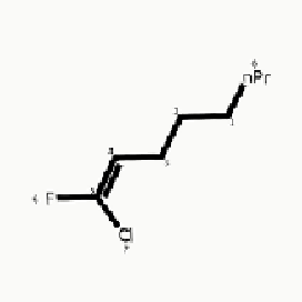 CCCCCCC=C(F)Cl